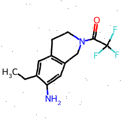 CCc1cc2c(cc1N)CN(C(=O)C(F)(F)F)CC2